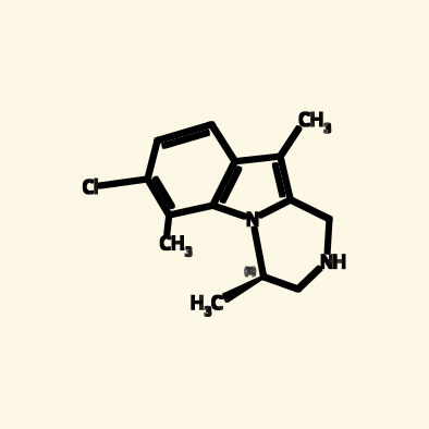 Cc1c2n(c3c(C)c(Cl)ccc13)[C@H](C)CNC2